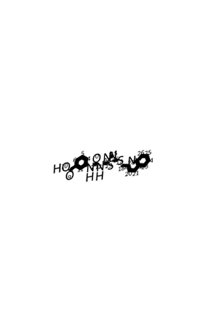 O=C(Nc1cccc(C(=O)O)c1)Nc1nnc(SCc2ccc3ccccc3n2)s1